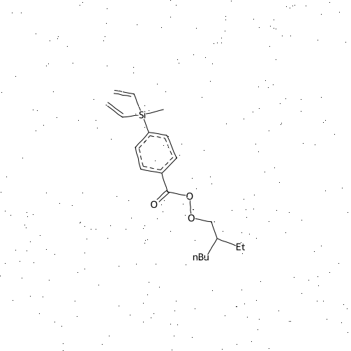 C=C[Si](C)(C=C)c1ccc(C(=O)OO[CH]C(CC)CCCC)cc1